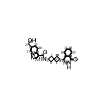 O=C(N[C@H]1CC2(C1)C[C@H](c1n[nH]c(=O)c3ccccc31)C2)c1cnn2cc(CO)ccc12